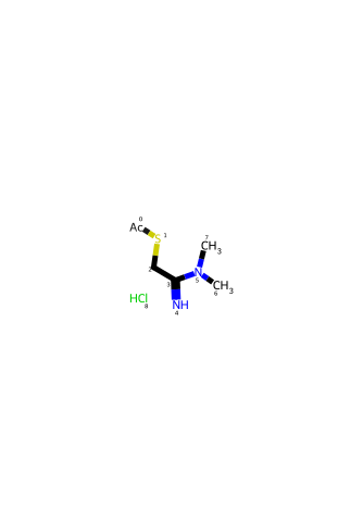 CC(=O)SCC(=N)N(C)C.Cl